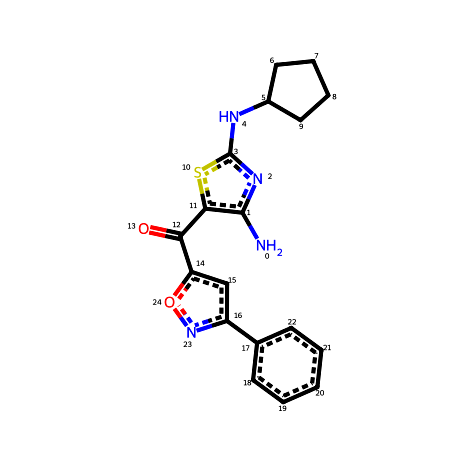 Nc1nc(NC2CCCC2)sc1C(=O)c1cc(-c2ccccc2)no1